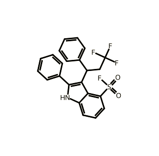 O=S(=O)(F)c1cccc2[nH]c(-c3ccccc3)c(C(CC(F)(F)F)c3ccccc3)c12